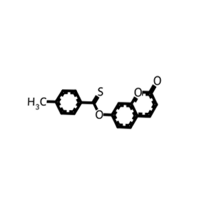 Cc1ccc(C(=S)Oc2ccc3ccc(=O)oc3c2)cc1